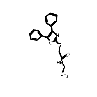 CCNC(=O)CSc1nc(-c2ccccc2)c(-c2ccccc2)o1